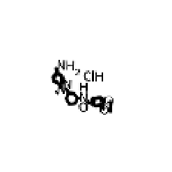 Cl.Cn1c(C2CCCC(NC(=O)c3ccc4c(c3)OCCO4)C2)nc2cc(CN)ccc21